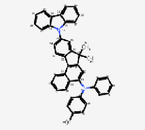 Cc1ccc(N(c2ccccc2)c2cc3c(c4ccccc24)-c2ccc(-n4c5ccccc5c5ccccc54)cc2C3(C)C)cc1